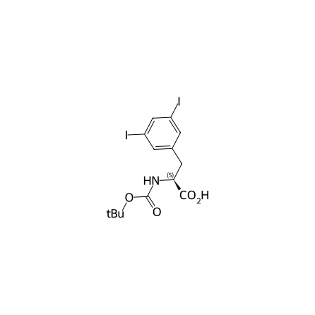 CC(C)(C)OC(=O)N[C@@H](Cc1cc(I)cc(I)c1)C(=O)O